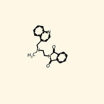 CN(CCN1C(=O)c2ccccc2C1=O)Cc1ccnc2ccccc12